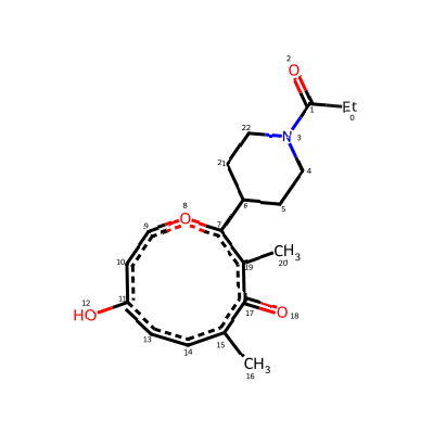 CCC(=O)N1CCC(c2occc(O)ccc(C)c(=O)c2C)CC1